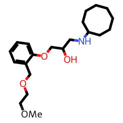 COCCOCc1ccccc1OCC(O)CNC1CCCCCCC1